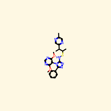 COc1ncnc(OC)c1-n1c(NSC(C)C(C)c2cnc(C)cn2)nnc1-c1ccccc1